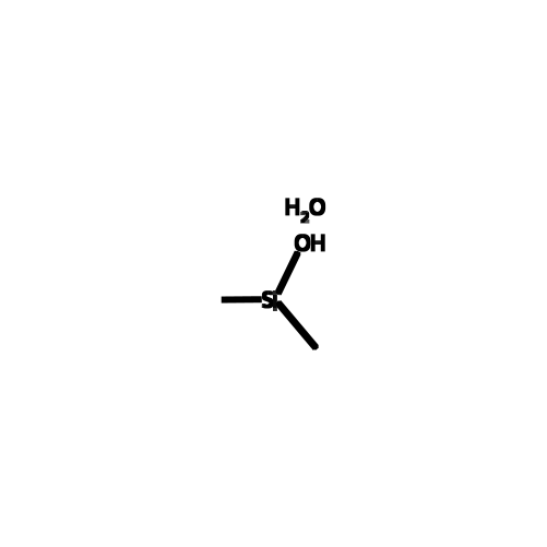 C[Si](C)O.O